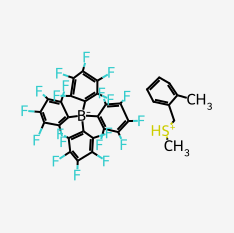 C[SH+]Cc1ccccc1C.Fc1c(F)c(F)c([B-](c2c(F)c(F)c(F)c(F)c2F)(c2c(F)c(F)c(F)c(F)c2F)c2c(F)c(F)c(F)c(F)c2F)c(F)c1F